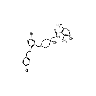 Cc1cc[n+](O)c(C)c1C(=O)NCC1(O)CCN(Cc2cc(Br)ccc2OCc2ccc(Cl)cc2)CC1